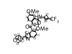 COc1ccc(NC(=O)c2c(OC)ccc3nc(N4C5COCC4C5)sc23)c(C(=O)NC23CC(C(F)(F)F)(C2)C3)c1